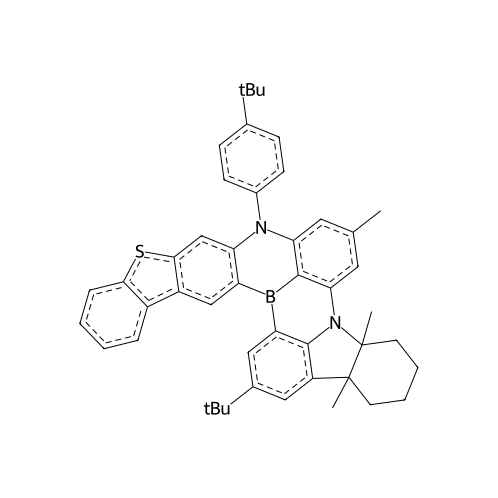 Cc1cc2c3c(c1)N1c4c(cc(C(C)(C)C)cc4C4(C)CCCCC14C)B3c1cc3c(cc1N2c1ccc(C(C)(C)C)cc1)sc1ccccc13